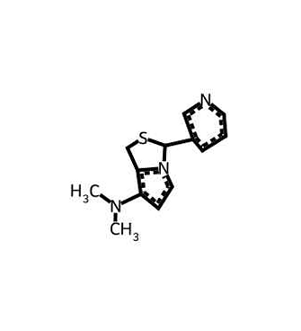 CN(C)c1ccn2c1CSC2c1cccnc1